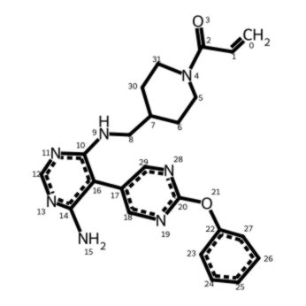 C=CC(=O)N1CCC(CNc2ncnc(N)c2-c2cnc(Oc3ccccc3)nc2)CC1